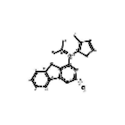 CC1=[C]([Zr+2]([c]2cccc3c2Cc2ccccc2-3)=[Si](C)C)CC=C1.[Cl-].[Cl-]